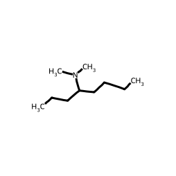 CCCCC(CCC)N(C)C